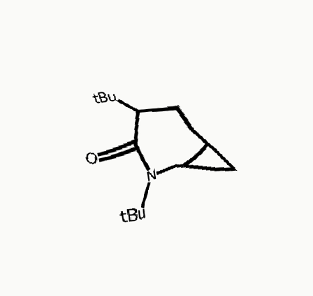 CC(C)(C)C1CC2CC2N(C(C)(C)C)C1=O